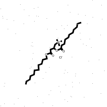 CCCCCCCCCCCOC(=O)CC(C[N+](C)(C)C)OC(=O)CCCCCCCCCC.[Cl-]